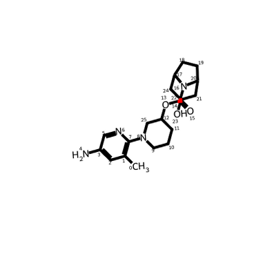 Cc1cc(N)cnc1N1CCCC(OC(=O)N2C3CCC2CC(O)C3)C1